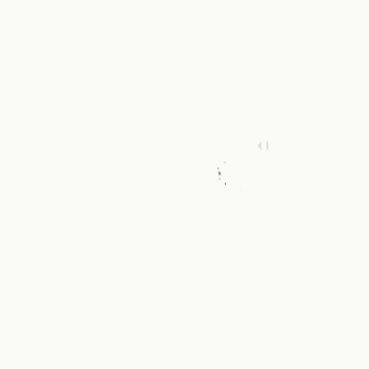 N[C@H](CO)CC=Cc1ccccc1